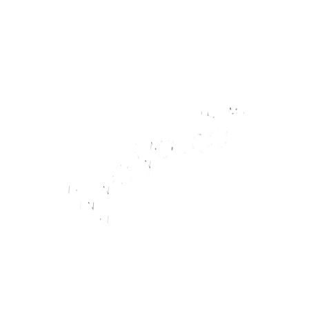 COC(=O)c1cccc2cc(Oc3ccnc(NC(=O)c4ccc(N5CC(C)NC(C)C5)cc4)c3)ccc12